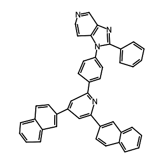 c1ccc(-c2nc3cnccc3n2-c2ccc(-c3cc(-c4ccc5ccccc5c4)cc(-c4ccc5ccccc5c4)n3)cc2)cc1